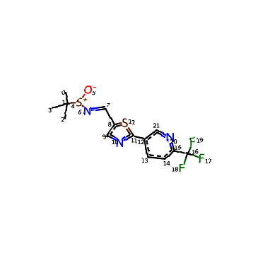 CC(C)(C)[S+]([O-])/N=C/c1cnc(-c2ccc(C(F)(F)F)nc2)s1